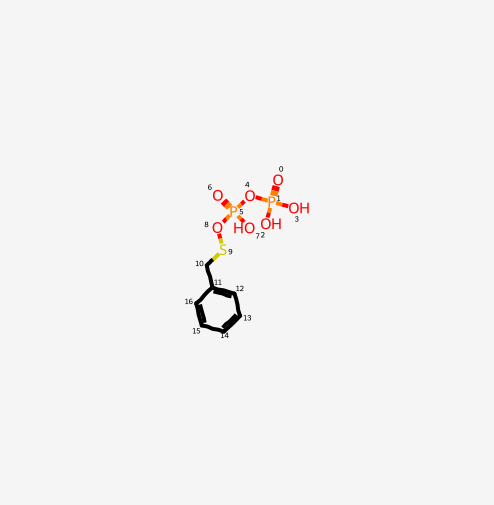 O=P(O)(O)OP(=O)(O)OSCc1ccccc1